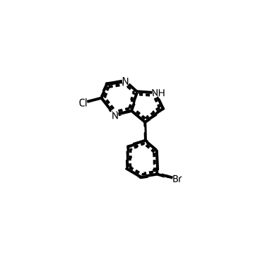 Clc1cnc2[nH]cc(-c3cccc(Br)c3)c2n1